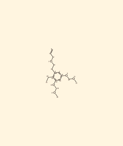 C=CCOCCc1cc(OCOC)cc(OCOC)c1CC